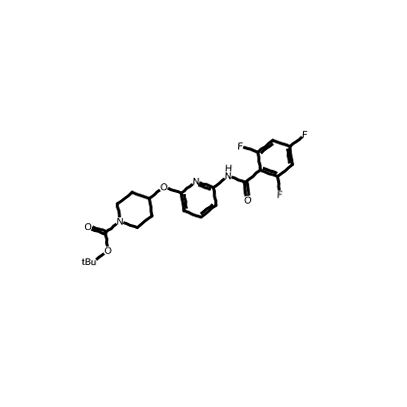 CC(C)(C)OC(=O)N1CCC(Oc2cccc(NC(=O)c3c(F)cc(F)cc3F)n2)CC1